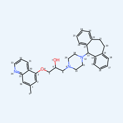 Cc1cc(OCC(O)CN2CCN(C3c4ccccc4CCc4ccccc43)CC2)c2cccnc2c1